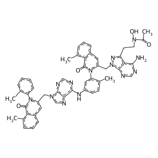 CC(=O)N(O)CCc1nn(Cc2cc3cccc(C)c3c(=O)n2-c2cc(Nc3ncnc4c3ncn4Cc3cc4cccc(C)c4c(=O)n3-c3ccccc3C)ccc2C)c2ncnc(N)c12